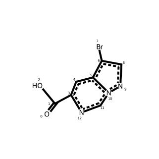 O=C(O)c1cc2c(Br)cnn2cn1